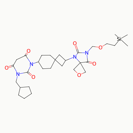 C[Si](C)(C)CCOCN1C(=O)N(C2CC3(CCC(N4C(=O)CC(=O)N(CC5CCCC5)C4=O)CC3)C2)C2(COC2)C1=O